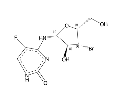 O=c1nc(N[C@@H]2O[C@H](CO)[C@H](Br)[C@H]2O)c(F)c[nH]1